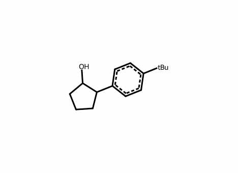 CC(C)(C)c1ccc(C2CCCC2O)cc1